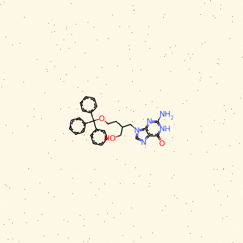 Nc1nc2c(ncn2CC(CO)CCOC(c2ccccc2)(c2ccccc2)c2ccccc2)c(=O)[nH]1